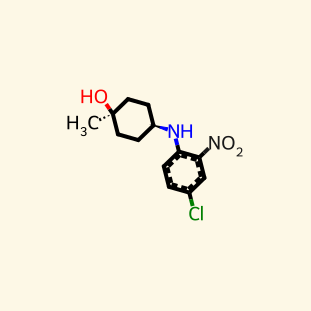 C[C@]1(O)CC[C@@H](Nc2ccc(Cl)cc2[N+](=O)[O-])CC1